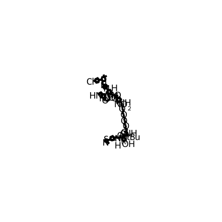 Cc1ncsc1-c1ccc(CNC(=O)[C@@H]2C[C@@H](O)CN2C(=O)[C@@H](NC(=O)CCOCCOCCOCCOCCNc2ccc(S(=O)(=O)NC(=O)c3ccc(N4CCN(CC5=C(c6ccc(Cl)cc6)CC(C)(C)CC5)CC4)cc3N3CCCOc4nc5[nH]ccc5cc43)cc2[N+](=O)[O-])C(C)(C)C)cc1